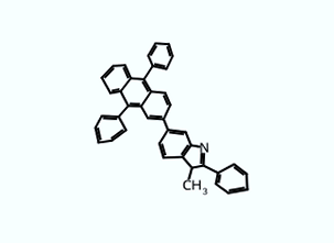 CC1C(c2ccccc2)=Nc2cc(-c3ccc4c(-c5ccccc5)c5ccccc5c(-c5ccccc5)c4c3)ccc21